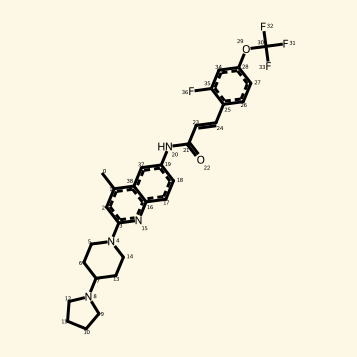 Cc1cc(N2CCC(N3CCCC3)CC2)nc2ccc(NC(=O)/C=C/c3ccc(OC(F)(F)F)cc3F)cc12